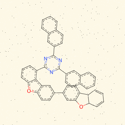 C1=CC2Oc3cc(-c4ccc5oc6cccc(-c7nc(-c8ccc9ccccc9c8)nc(-c8ccc9ccccc9c8)n7)c6c5c4)ccc3C2C=C1